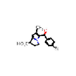 CCc1ccc(C(=O)c2c(C)cc3n2CCC3C(=O)O)cc1